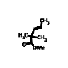 CC=CC(C)(C)C(=O)OC